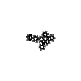 c1ccc(-n2c3cc(-c4ccc(-c5ncccn5)cc4)ccc3c3c2ccc2c4ccccc4n(-c4ccccc4)c23)cc1